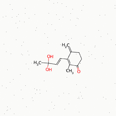 C=C1CCC(=O)C(C)=C1/C=C/C(C)(O)O